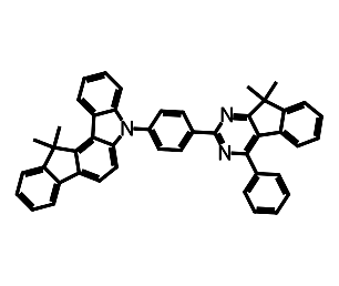 CC1(C)c2ccccc2-c2c(-c3ccccc3)nc(-c3ccc(-n4c5ccccc5c5c6c(ccc54)-c4ccccc4C6(C)C)cc3)nc21